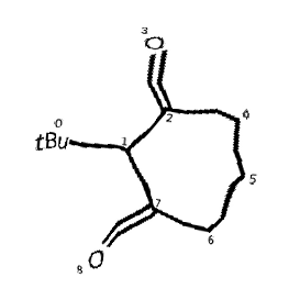 CC(C)(C)C1C(=O)CCCC1=O